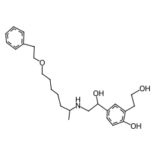 CC(CCCCCOCCc1ccccc1)NCC(O)c1ccc(O)c(CCO)c1